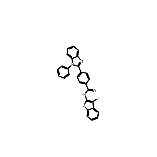 O=C(Nc1oc2ccccc2c1Br)c1ccc(-c2nc3ccccc3n2-c2ccccc2)cc1